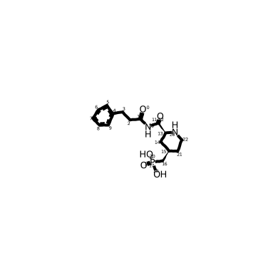 O=C(CCc1ccccc1)NC(=O)[C@@H]1C[C@H](CP(=O)(O)O)CCN1